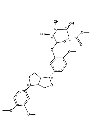 COC(=O)[C@@H]1OC(Oc2cc([C@@H]3OCC4C3CO[C@@H]4c3ccc(OC)c(OC)c3)ccc2OC)[C@@H](O)[C@H](O)[C@H]1O